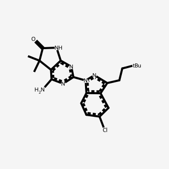 CC(C)(C)CCc1nn(-c2nc(N)c3c(n2)NC(=O)C3(C)C)c2ccc(Cl)cc12